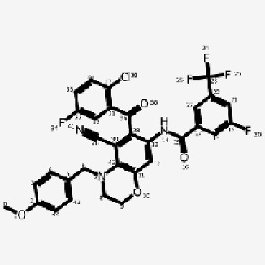 COc1ccc(CN2CCOc3cc(NC(=O)c4cc(F)cc(C(F)(F)F)c4)c(C(=O)c4cc(F)ccc4Cl)c(C#N)c32)cc1